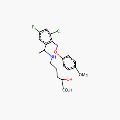 COc1ccc(OCc2c(Cl)cc(F)cc2C(C)NCCCC(O)C(=O)O)cc1